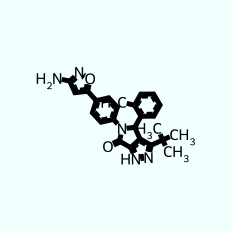 Cc1ccccc1C1c2c(C(C)(C)C)n[nH]c2C(=O)N1c1ccc(-c2cc(N)no2)cc1